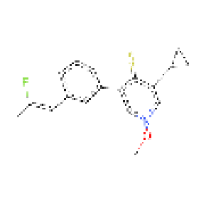 COn1cc(-c2cccc(C=C(C)F)c2)c(=S)c(C2CC2)c1